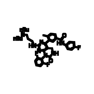 CCCCN(CCCC)CCCNc1nc(-c2cc(C(=O)Nc3ccc(F)cc3)ccc2C)c2c(n1)N(c1c(F)cccc1F)C(=O)NC2